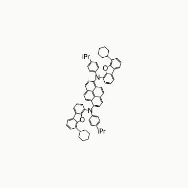 CC(C)c1ccc(N(c2ccc3ccc4c(N(c5ccc(C(C)C)cc5)c5cccc6c5oc5c(C7CCCCC7)cccc56)ccc5ccc2c3c54)c2cccc3c2oc2c(C4CCCCC4)cccc23)cc1